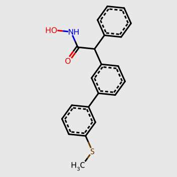 CSc1cccc(-c2cccc(C(C(=O)NO)c3ccccc3)c2)c1